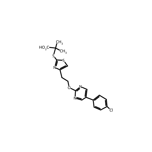 CC(C)(Sc1nc(CCOc2ncc(-c3ccc(Cl)cc3)cn2)cs1)C(=O)O